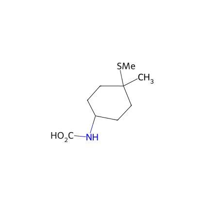 CSC1(C)CCC(NC(=O)O)CC1